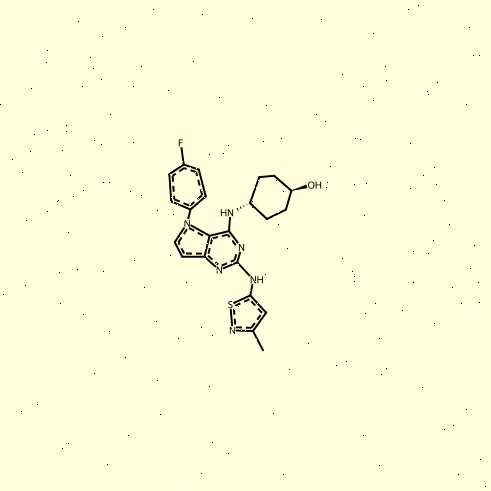 Cc1cc(Nc2nc(N[C@H]3CC[C@H](O)CC3)c3c(ccn3-c3ccc(F)cc3)n2)sn1